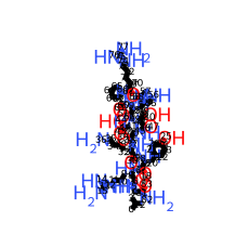 CC(C)C[C@H](NC(=O)[C@H](CCCNC(=N)N)NC(=O)[C@H](Cc1ccc(O)cc1)NC(=O)[C@H](CCCCN)NC(=O)[C@H](CC(=O)O)NC(=O)[C@@H](NC(=O)[C@H](Cc1c[nH]cn1)NC(=O)[C@@H]1CCCN1C(=O)[C@@H](C)CCCNC(=N)N)[C@@H](C)O)C(N)=O